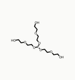 OCCOCCOP(OCCOCCO)OCCOCCO